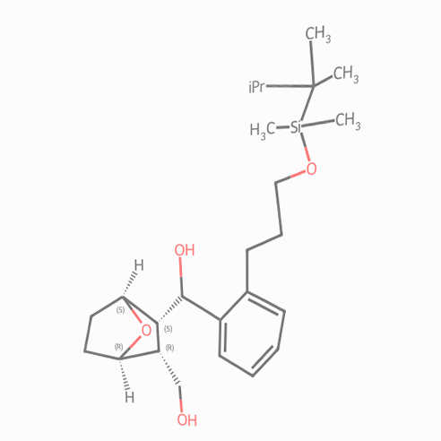 CC(C)C(C)(C)[Si](C)(C)OCCCc1ccccc1C(O)[C@@H]1[C@H](CO)[C@H]2CC[C@@H]1O2